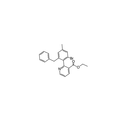 CCOC(=O)c1cccnc1-c1c(Br)cc(C)cc1Cc1ccccc1